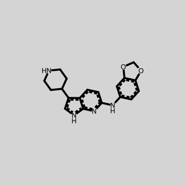 c1cc2c(cc1Nc1ccc3c(C4CCNCC4)c[nH]c3n1)OCO2